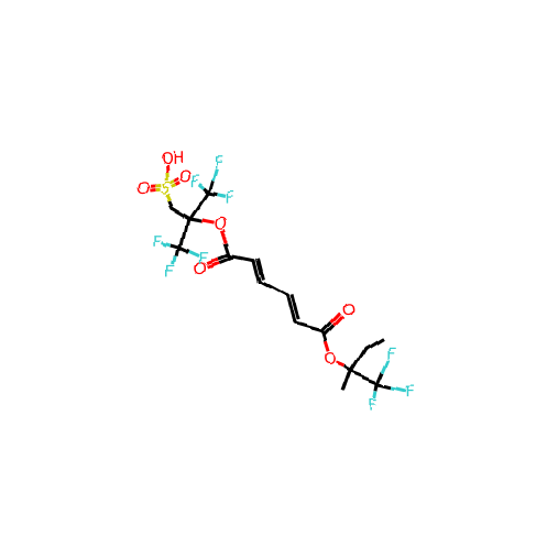 CCC(C)(OC(=O)/C=C/C=C/C(=O)OC(CS(=O)(=O)O)(C(F)(F)F)C(F)(F)F)C(F)(F)F